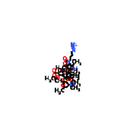 C=C[C@@H](NC[C@H](C)C[C@@](C)(OC)[C@H](O[C@@H]1OC(C)CC(N(C)C)C1P=O)[C@@H](C)C1=C(C)C(=O)OC(C)(C)O1)[C@H]1N(CCCCN=[N+]=[N-])C(=O)O[C@]1(C)[C@H](O)CC